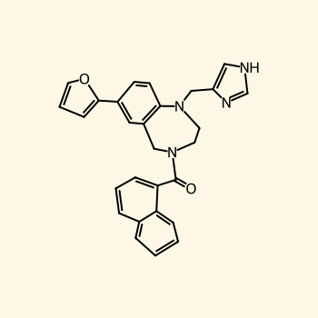 O=C(c1cccc2ccccc12)N1CCN(Cc2c[nH]cn2)c2ccc(-c3ccco3)cc2C1